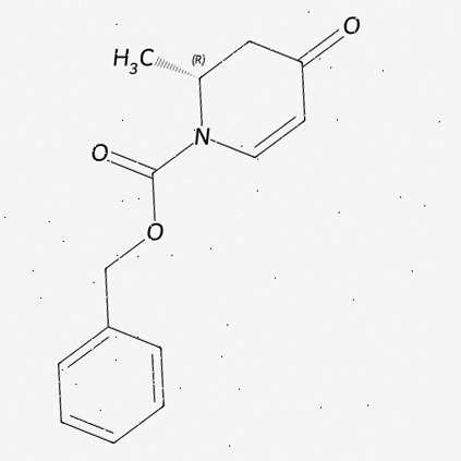 C[C@@H]1CC(=O)C=CN1C(=O)OCc1ccccc1